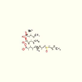 CCCCC(=O)[O-].CCCCC(=O)[O-].CCCCC(=O)[O-].CCCCS(=O)CCCC.[Tb+3]